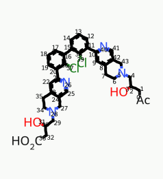 CC(=O)CC(O)CN1CCc2cc(-c3cccc(-c4cccc(-c5cc6c(cn5)CN(CC(O)CC(=O)O)CC6)c4Cl)c3Cl)ncc2C1